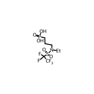 CCN(CCCP(=O)(O)O)S(=O)(=O)C(F)(F)C(F)(F)F